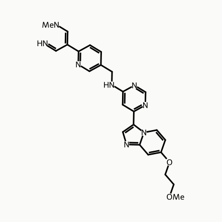 CN/C=C(\C=N)c1ccc(CNc2cc(-c3cnc4cc(OCCOC)ccn34)ncn2)cn1